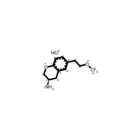 Cl.N[C@H]1COc2ccc(CCOC(F)(F)F)cc2C1